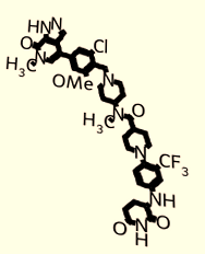 COc1cc(-c2cn(C)c(=O)c3[nH]ncc23)cc(Cl)c1CN1CCC(N(C)C(=O)C2CCN(c3ccc(NC4CCC(=O)NC4=O)cc3C(F)(F)F)CC2)CC1